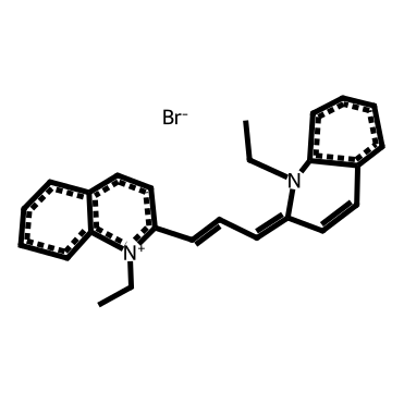 CCN1C(=CC=Cc2ccc3ccccc3[n+]2CC)C=Cc2ccccc21.[Br-]